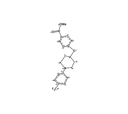 COC(=O)c1cnc(OC2CCN(c3ccc(C(F)(F)F)cc3)CC2)cn1